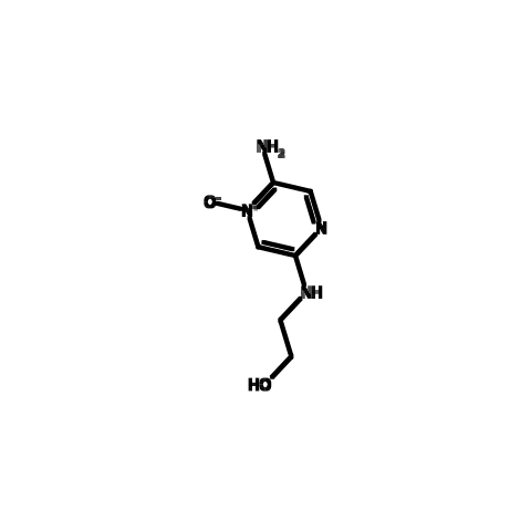 Nc1cnc(NCCO)c[n+]1[O-]